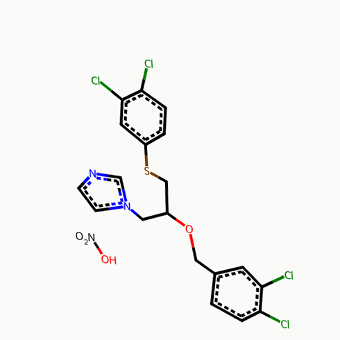 Clc1ccc(COC(CSc2ccc(Cl)c(Cl)c2)Cn2ccnc2)cc1Cl.O=[N+]([O-])O